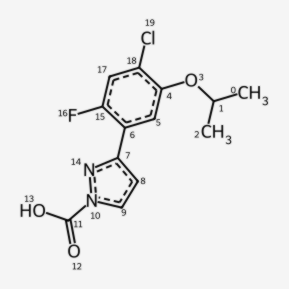 CC(C)Oc1cc(-c2ccn(C(=O)O)n2)c(F)cc1Cl